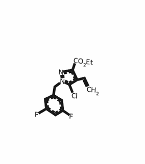 C=Cc1c(C(=O)OCC)nn(Cc2cc(F)cc(F)c2)c1Cl